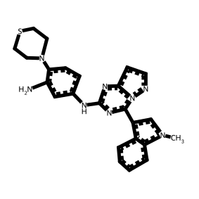 Cn1cc(-c2nc(Nc3ccc(N4CCSCC4)c(N)c3)nc3ccnn23)c2ccccc21